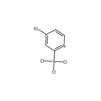 CCc1ccnc([Si](Cl)(Cl)Cl)c1